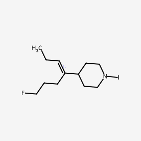 CC/C=C(\CCCF)C1CCN(I)CC1